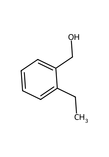 CCc1ccccc1CO